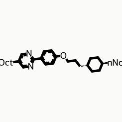 CCCCCCCCC[C@H]1CC[C@H](CCCOc2ccc(-c3ncc(CCCCCCCC)cn3)cc2)CC1